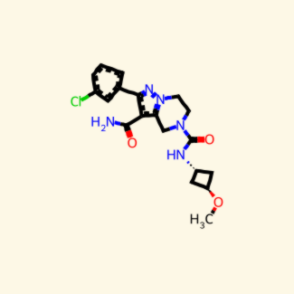 CO[C@H]1C[C@H](NC(=O)N2CCn3nc(-c4cccc(Cl)c4)c(C(N)=O)c3C2)C1